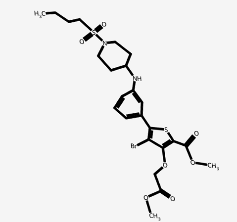 CCCCS(=O)(=O)N1CCC(Nc2cccc(-c3sc(C(=O)OC)c(OCC(=O)OC)c3Br)c2)CC1